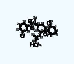 COc1ccccc1C1(O)CCC(N(C)S(=O)(=O)c2cccc(Cl)c2)CC1CN(C)C.Cl